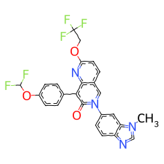 Cn1cnc2ccc(-n3cc4ccc(OCC(F)(F)F)nc4c(-c4ccc(OC(F)F)cc4)c3=O)cc21